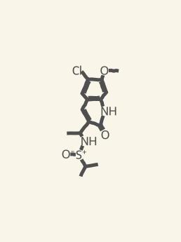 COc1cc2[nH]c(=O)c(C(C)N[S+]([O-])C(C)C)cc2cc1Cl